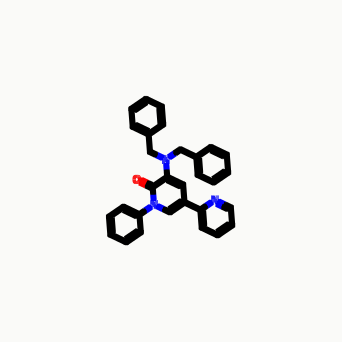 O=c1c(N(Cc2ccccc2)Cc2ccccc2)cc(-c2ccccn2)cn1-c1ccccc1